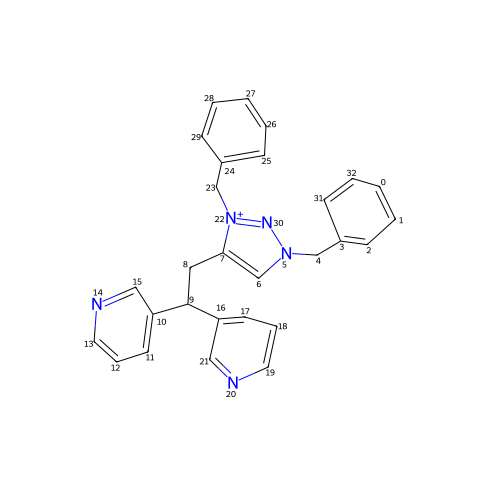 c1ccc(Cn2cc(CC(c3cccnc3)c3cccnc3)[n+](Cc3ccccc3)n2)cc1